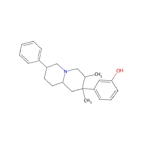 CC1CN2CC(c3ccccc3)CCC2CC1(C)c1cccc(O)c1